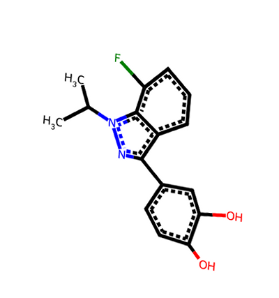 CC(C)n1nc(-c2ccc(O)c(O)c2)c2cccc(F)c21